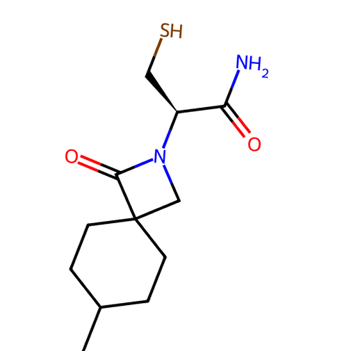 CC1CCC2(CC1)CN([C@@H](CS)C(N)=O)C2=O